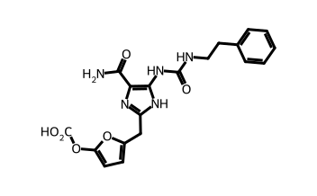 NC(=O)c1nc(Cc2ccc(OC(=O)O)o2)[nH]c1NC(=O)NCCc1ccccc1